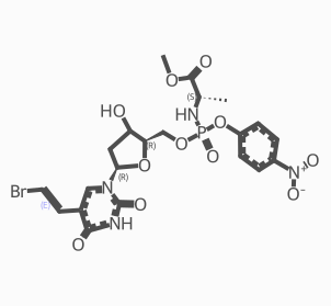 COC(=O)[C@H](C)NP(=O)(OC[C@H]1O[C@@H](n2cc(/C=C/Br)c(=O)[nH]c2=O)CC1O)Oc1ccc([N+](=O)[O-])cc1